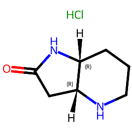 Cl.O=C1C[C@H]2NCCC[C@H]2N1